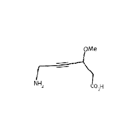 COC(C#CCN)CC(=O)O